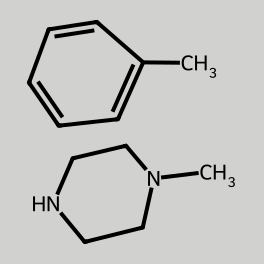 CN1CCNCC1.Cc1ccccc1